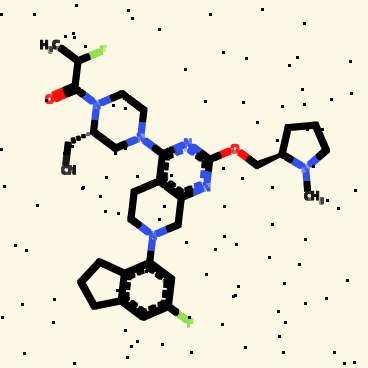 CC(F)C(=O)N1CCN(c2nc(OC[C@H]3CCCN3C)nc3c2CCN(c2cc(F)cc4c2CCC4)C3)C[C@@H]1CC#N